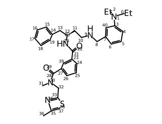 CCN(CC)c1cccc(CNCC[C@H](Cc2ccccc2)NC(=O)c2cccc(C(=O)N(C)Cc3nc(C)cs3)c2)c1